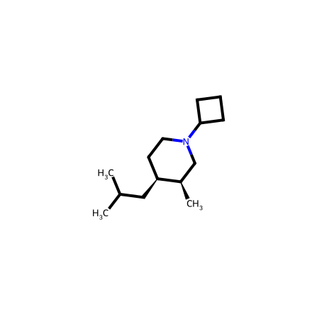 CC(C)C[C@H]1CCN(C2CCC2)C[C@H]1C